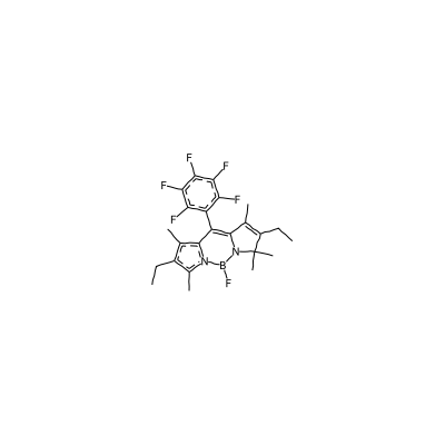 CCC1=C(C)C2=C(c3c(F)c(F)c(F)c(F)c3F)c3c(C)c(CC)c(C)n3B(F)N2C1(C)C